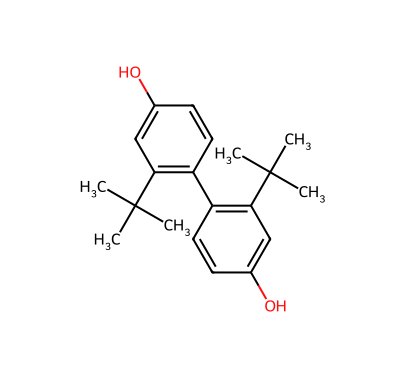 CC(C)(C)c1cc(O)ccc1-c1ccc(O)cc1C(C)(C)C